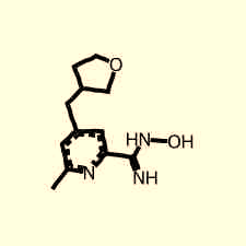 Cc1cc(CC2CCOC2)cc(C(=N)NO)n1